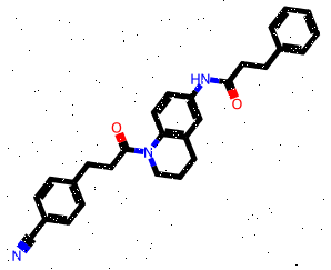 N#Cc1ccc(CCC(=O)N2CCCc3cc(NC(=O)CCc4ccccc4)ccc32)cc1